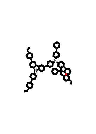 C=Cc1ccc(CC2(c3ccccc3)c3ccccc3-c3ccc(N(c4ccc(-c5ccccc5)cc4)c4ccc(-c5ccc6c(c5)C5CC(c7ccc(C=C)cc7)=CC=C5N6c5ccc(-c6ccc(C=C)cc6)cc5)cc4)cc32)cc1